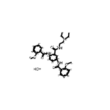 CCN(CC)CCNC(=O)c1cc(NC(=O)c2ccccc2OC)ccc1NC(=O)c1ccccc1OC.Cl